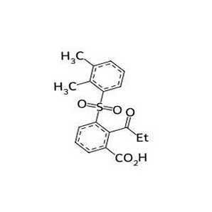 CCC(=O)c1c(C(=O)O)cccc1S(=O)(=O)c1cccc(C)c1C